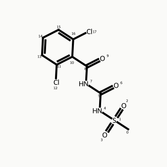 CS(=O)(=O)NC(=O)NC(=O)c1c(Cl)cccc1Cl